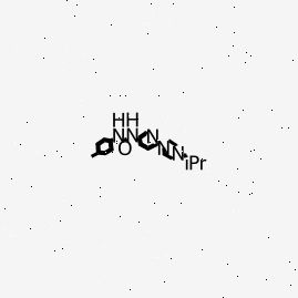 Cc1ccc(NC(=O)Nc2ccc(N3CCN(CC(C)C)CC3)nc2)cc1